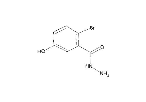 NNC(=O)c1cc(O)ccc1Br